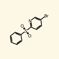 O=S(=O)(c1ccccc1)c1ccc(Br)cn1